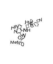 CNC(=O)c1cnc(-c2cnc3[nH]ccc3c2N[C@H]2C[C@H](NS(=O)(=O)c3cccc(C#N)c3)C2)o1